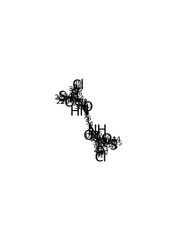 O=C(NCCCCCCNC(=O)N1CCC(N(C(=O)Cc2cccs2)c2ccc(Cl)cc2)CC1)N1CCC(N(C(=O)Cc2cccs2)c2ccc(Cl)cc2)CC1